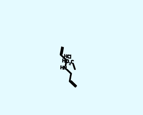 C=CCNCC=C.CC(=O)O.Cl